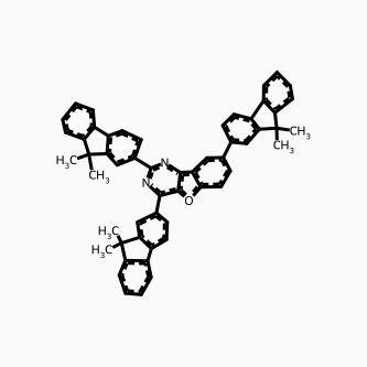 CC1(C)c2ccccc2-c2ccc(-c3ccc4oc5c(-c6ccc7c(c6)C(C)(C)c6ccccc6-7)nc(-c6ccc7c(c6)C(C)(C)c6ccccc6-7)nc5c4c3)cc21